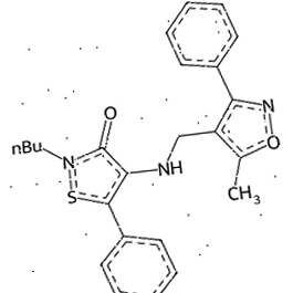 CCCCn1sc(-c2ccccc2)c(NCc2c(-c3ccccc3)noc2C)c1=O